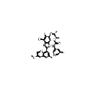 COc1cnc2c(-c3nc4c(Cl)c(F)c(O[C@@H](C)[C@@H](C)OC(=O)Nc5cncc(F)c5)cc4s3)cc(C)cc2c1